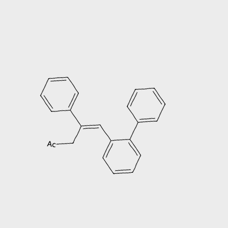 CC(=O)CC(=Cc1ccccc1-c1ccccc1)c1ccccc1